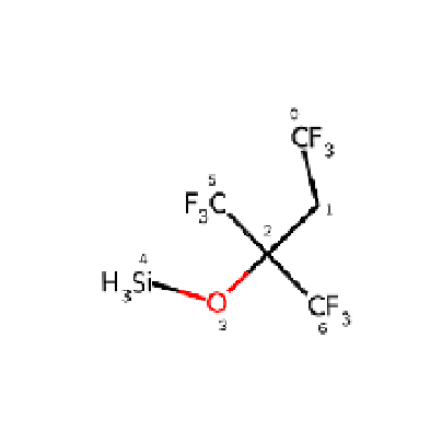 FC(F)(F)CC(O[SiH3])(C(F)(F)F)C(F)(F)F